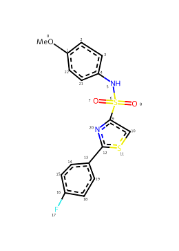 COc1ccc(NS(=O)(=O)c2csc(-c3ccc(F)cc3)n2)cc1